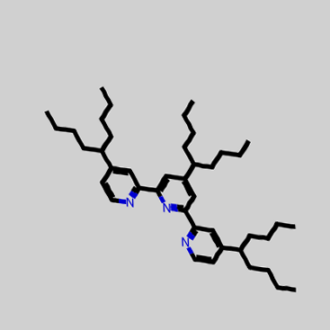 CCCCC(CCCC)c1ccnc(-c2cc(C(CCCC)CCCC)cc(-c3cc(C(CCCC)CCCC)ccn3)n2)c1